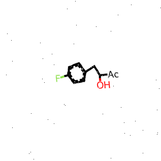 CC(=O)C(O)Cc1ccc(F)cc1